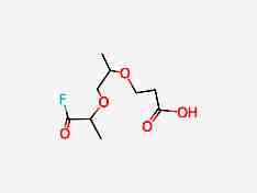 CC(COC(C)C(=O)F)OCCC(=O)O